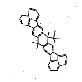 CC1(C)c2cc3c(cc2C(C)(C(F)(F)F)c2cc4c(cc21)-c1cccc2cccc-4c12)-c1cccc2cccc-3c12